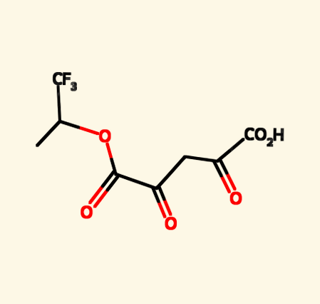 CC(OC(=O)C(=O)CC(=O)C(=O)O)C(F)(F)F